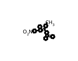 Cc1ccc(N(c2ccc3c(c2)c2ccccc2n3-c2ccccc2)c2ccc(-c3ccc([N+](=O)[O-])cc3)c3ccccc23)cc1